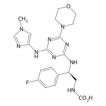 Cn1cnc(Nc2nc(N[C@@H](CNC(=O)O)c3ccc(F)cc3)nc(N3CCOCC3)n2)c1